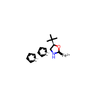 CC(C)(C)[C@@H]1CN[C](=[Fe+2])O1.c1cc[cH-]c1.c1cc[cH-]c1